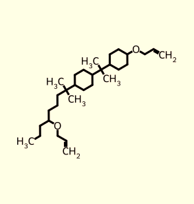 C=CCOC(CCC)CCCC(C)(C)C1CCC(C(C)(C)C2CCC(OCC=C)CC2)CC1